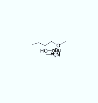 CC#N.CCCCO.CCCCOC.O